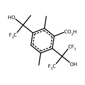 Cc1cc(C(C)(O)C(F)(F)F)c(C)c(C(=O)O)c1C(O)(C(F)(F)F)C(F)(F)F